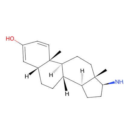 C[C@]12C=CC(O)=C[C@H]1CC[C@@H]1[C@@H]2CC[C@]2(C)[C@@H](N)CC[C@@H]12